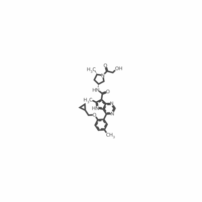 Cc1ccc(OCC2CC2)c(-c2ncnc3c(C(=O)N[C@@H]4C[C@H](C)N(C(=O)CO)C4)c(C)[nH]c23)c1